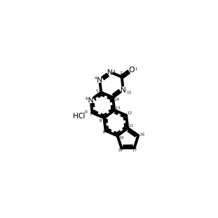 Cl.O=C1N=Nc2ncc3cc4c(cc3c2=N1)=CC=C4